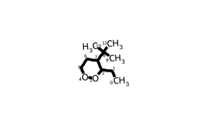 CCC1OOCCC1C(C)(C)C